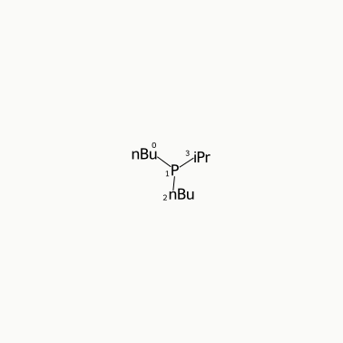 CCCCP(CCCC)C(C)C